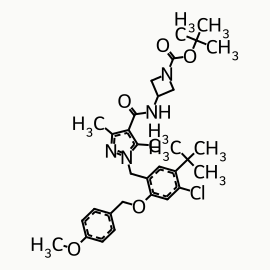 COc1ccc(COc2cc(Cl)c(C(C)(C)C)cc2Cn2nc(C)c(C(=O)NC3CN(C(=O)OC(C)(C)C)C3)c2C)cc1